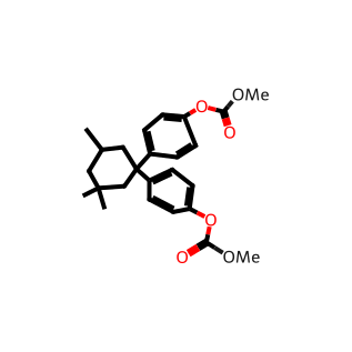 COC(=O)Oc1ccc(C2(c3ccc(OC(=O)OC)cc3)CC(C)CC(C)(C)C2)cc1